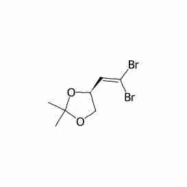 CC1(C)OC[C@H](C=C(Br)Br)O1